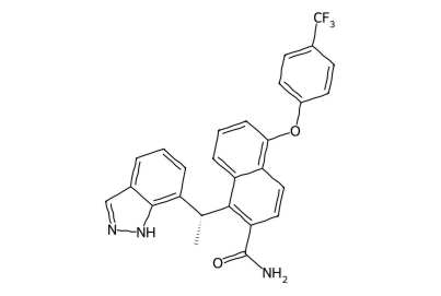 C[C@@H](c1c(C(N)=O)ccc2c(Oc3ccc(C(F)(F)F)cc3)cccc12)c1cccc2cn[nH]c12